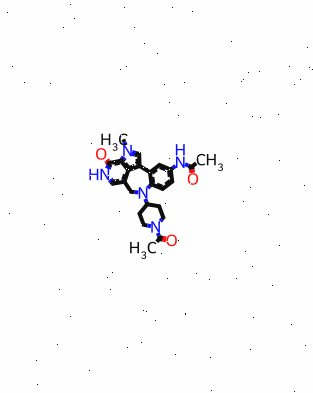 CC(=O)Nc1ccc2c(c1)-c1cn(C)c3c(=O)[nH]cc(c13)CN2C1CCN(C(C)=O)CC1